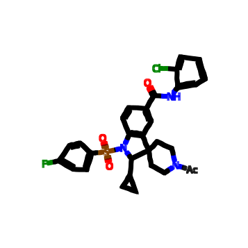 CC(=O)N1CCC2(CC1)c1cc(C(=O)Nc3ccccc3Cl)ccc1N(S(=O)(=O)c1ccc(F)cc1)C2C1CC1